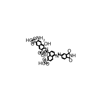 Nc1cc2c(O)c(N=Nc3ccc(N=Nc4ccc5c(c4)C(=O)NC5=O)c4ccc(S(=O)(=O)O)cc34)c(S(=O)(=O)O)cc2cc1S(=O)(=O)O